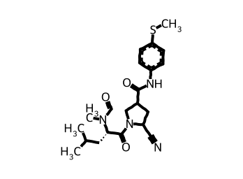 CSc1ccc(NC(=O)C2CC(C#N)N(C(=O)[C@H](CC(C)C)N(C)C=O)C2)cc1